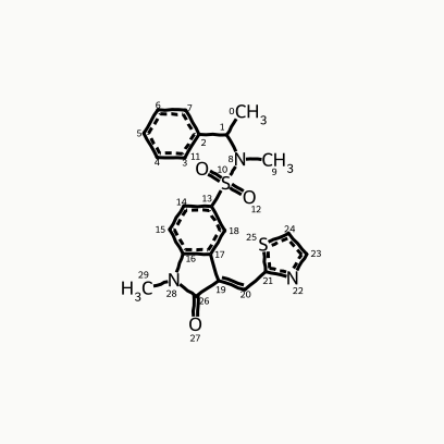 CC(c1ccccc1)N(C)S(=O)(=O)c1ccc2c(c1)/C(=C\c1nccs1)C(=O)N2C